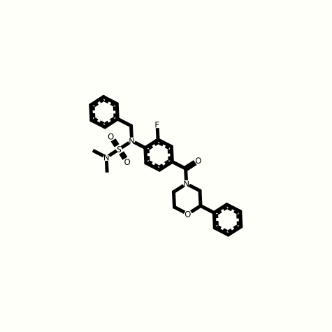 CN(C)S(=O)(=O)N(Cc1ccccc1)c1ccc(C(=O)N2CCOC(c3ccccc3)C2)cc1F